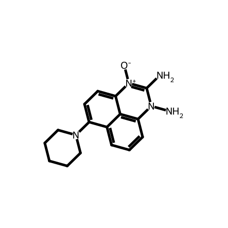 NC1=[N+]([O-])c2ccc(N3CCCCC3)c3cccc(c23)N1N